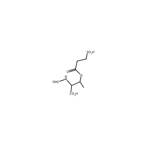 CC(OC(=O)CCS(=O)(=O)O)C(NC=O)C(=O)O